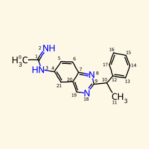 CC(=N)Nc1ccc2nc(C(C)c3ccccc3)ncc2c1